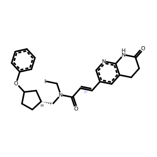 O=C1CCc2cc(/C=C/C(=O)N(CI)C[C@@H]3CCC(Oc4ccccc4)C3)cnc2N1